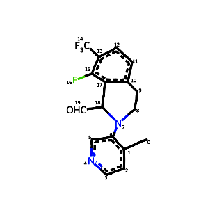 Cc1ccncc1N1CCc2ccc(C(F)(F)F)c(F)c2C1C=O